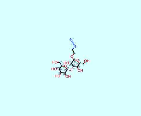 [N-]=[N+]=NCCO[C@H]1O[C@H](CO)[C@@H](O)[C@H](O[C@H]2O[C@H](CO)[C@@H](O)[C@H](O)[C@@H]2O)[C@@H]1O